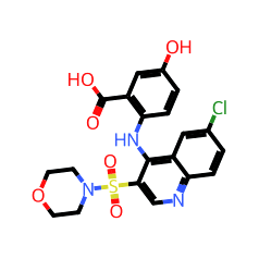 O=C(O)c1cc(O)ccc1Nc1c(S(=O)(=O)N2CCOCC2)cnc2ccc(Cl)cc12